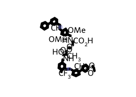 COc1cc(/C=C/c2cccc(-c3ccccc3)c2C)cc(OC)c1CNC(COOC(=O)C(C)(CO)NCc1ccc(C(F)(F)F)c(/C=C/c2cccc(-c3ccc4c(c3)OCCO4)c2C)c1)C(=O)O